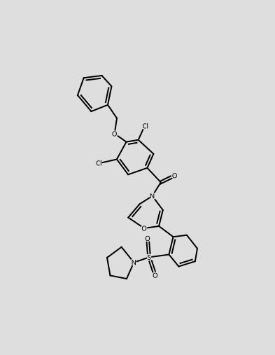 O=C(c1cc(Cl)c(OCc2ccccc2)c(Cl)c1)N1C=COC(C2=C(S(=O)(=O)N3CCCC3)C=CCC2)=C1